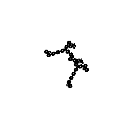 CC1(C)c2ccccc2-c2ccc(N(c3ccc(-c4ccc(-c5ccc(-c6cccc7c6oc6ccccc67)cc5)cc4)cc3)c3ccc(-c4ccc5oc6c(-c7ccc8c(c7)-c7ccc(N(c9ccc(-c%10ccc(-c%11ccc(-c%12ccc%13oc%14ccccc%14c%13c%12)cc%11)cc%10)cc9)c9ccc(-c%10cccc%11c%10oc%10ccccc%10%11)cc9)cc7C8(C)C)cccc6c5c4)cc3)cc21